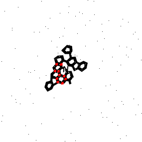 Cc1ccc(N(c2ccccc2-c2ccccc2)c2c3c(cc(-c4ccccc4)c2-c2ccccc2)-c2ccccc2C3)c(-c2cccc3c2Cc2ccccc2-3)c1C